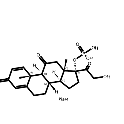 C[C@]12C=CC(=O)C=C1CC[C@@H]1[C@@H]2C(=O)C[C@@]2(C)[C@H]1CC[C@]2(OP(=O)(O)O)C(=O)CO.[NaH]